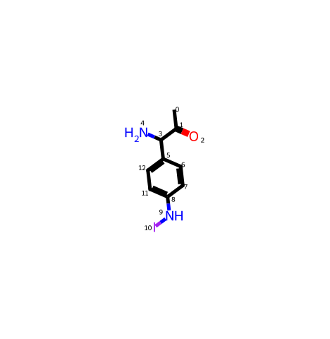 CC(=O)C(N)c1ccc(NI)cc1